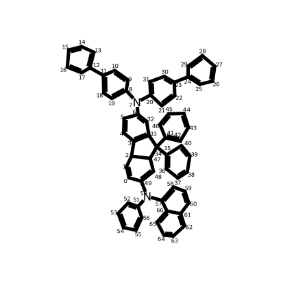 C1=CC2c3ccc(N(c4ccc(-c5ccccc5)cc4)c4ccc(-c5ccccc5)cc4)cc3C(c3ccccc3)(c3ccccc3)C2C=C1N(c1ccccc1)c1cccc2ccccc12